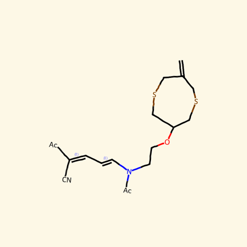 C=C1CSCC(OCCN(/C=C/C=C(\C#N)C(C)=O)C(C)=O)CSC1